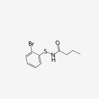 CCCC(=O)NSc1ccccc1Br